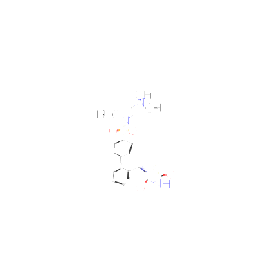 CN(C)CCN(C)S(=O)(=O)c1ccc(-c2ccccc2/C=C2/SC(=O)NC2=O)cc1